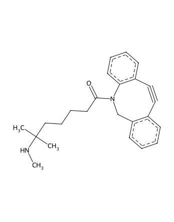 CNC(C)(C)CCCCC(=O)N1Cc2ccccc2C#Cc2ccccc21